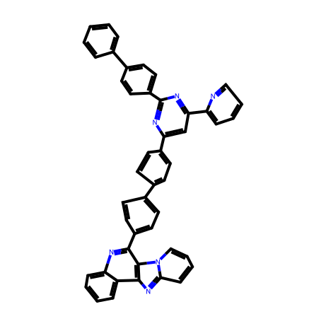 c1ccc(-c2ccc(-c3nc(-c4ccc(-c5ccc(-c6nc7ccccc7c7nc8ccccn8c67)cc5)cc4)cc(-c4ccccn4)n3)cc2)cc1